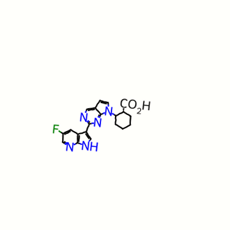 O=C(O)[C@H]1CCCCC1n1ccc2cnc(-c3c[nH]c4ncc(F)cc34)nc21